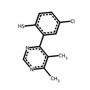 Cc1ncnc(-c2cc(Cl)ccc2S)c1C